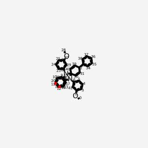 COc1cccc(N(c2ccccc2)C2(N(c3ccccc3)c3cccc(OC)c3)C=CC(c3ccccc3)C=C2)c1